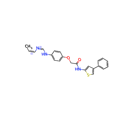 C/C=C\N=C/Nc1ccc(OCC(=O)Nc2cc(-c3ccccc3)cs2)cc1